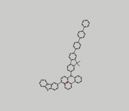 CC1(C)c2cc(-c3ccc(-c4ccc(-c5ccccc5)cc4)cc3)ccc2-c2ccc(N(c3ccc(-c4ccc5sc6ccccc6c5c4)cc3)c3ccccc3-c3ccccc3)cc21